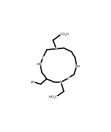 CC(C)CC1CNCCN(CC(=O)O)CCCNCCN(CC(=O)O)C1